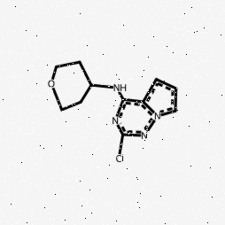 Clc1nc(NC2CCOCC2)c2cccn2n1